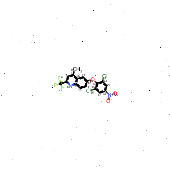 Cc1cc(C(F)(F)F)nc2ccc(Oc3c(Cl)cc([N+](=O)[O-])cc3Cl)cc12